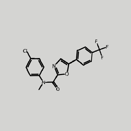 CN(C(=O)c1ncc(-c2ccc(C(F)(F)F)cc2)o1)c1ccc(Cl)cc1